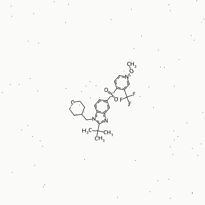 CO[n+]1ccc(S(=O)(=O)c2ccc3c(c2)nc(C(C)(C)C)n3CC2CCOCC2)c(C(F)(F)F)c1